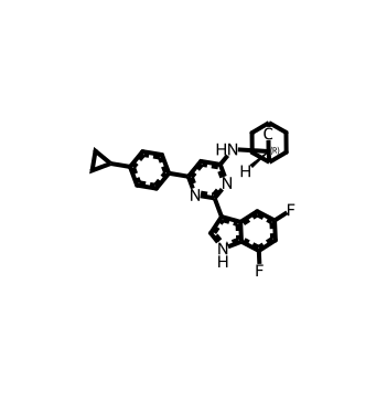 Fc1cc(F)c2[nH]cc(-c3nc(N[C@@H]4CC5CCC4CC5)cc(-c4ccc(C5CC5)cc4)n3)c2c1